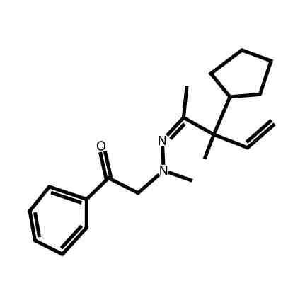 C=CC(C)(/C(C)=N\N(C)CC(=O)c1ccccc1)C1CCCC1